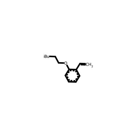 C=Cc1ccccc1OCCC(C)CC